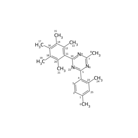 Cc1ccc(-c2nc(C)nc(-c3c(C)c(C)c(C)c(C)c3C)n2)c(C)c1